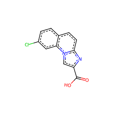 O=C(O)c1cn2c(ccc3ccc(Cl)cc32)n1